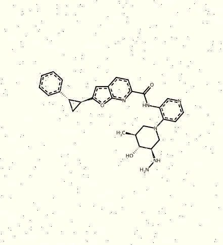 C[C@H]1CN(c2ccncc2NC(=O)c2ccc3cc([C@H]4C[C@@H]4c4ccccc4)oc3n2)C[C@@H](NN)[C@@H]1O